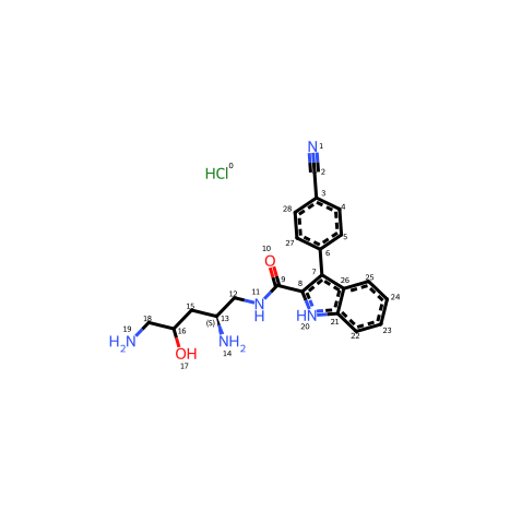 Cl.N#Cc1ccc(-c2c(C(=O)NC[C@@H](N)CC(O)CN)[nH]c3ccccc23)cc1